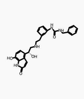 O=C(NCc1ccccc1)Nc1cccc(CCNC[C@H](O)c2ccc(O)c3[nH]c(=O)ccc23)c1